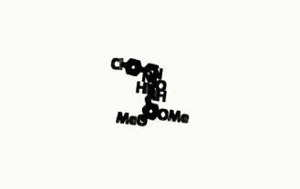 COc1cc(CNNC(=O)c2nccc(-c3ccc(Cl)cc3)n2)cc(OC)c1